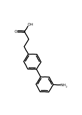 Nc1cccc(-c2ccc(CCC(=O)O)cc2)c1